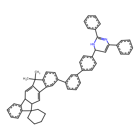 CC1(C)C2=CC3c4ccccc4C4(CCCCC4)C3C=C2c2cc(-c3cccc(-c4ccc(C5C=C(c6ccccc6)N=C(c6ccccc6)N5)cc4)c3)ccc21